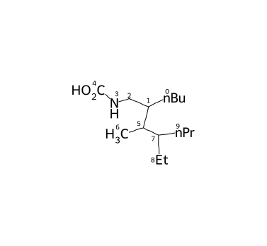 CCCCC(CNC(=O)O)C(C)C(CC)CCC